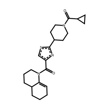 O=C(C1CC1)N1CCC(c2nc(C(=O)N3CCCC4CCCC=C43)cs2)CC1